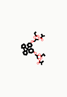 C=CC(=O)OC(COC(=O)C(=C)C)COc1ccc(C2(c3ccc(OCC(COC(=O)C(=C)C)OC(=O)C=C)cc3)c3ccccc3-c3ccccc32)cc1